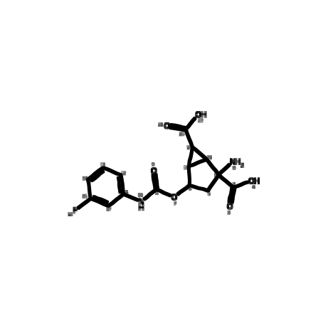 NC1(C(=O)O)CC(OC(=O)Nc2cccc(F)c2)C2C(C(=O)O)C21